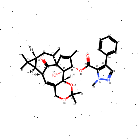 CC1=CC23C(=O)[C@@H](C=C4COC(C)(C)O[C@H]4[C@]2(O)[C@H]1OC(=O)c1c(-c2ccccc2)cnn1C)[C@H]1[C@@H](CC3C)C1(C)C